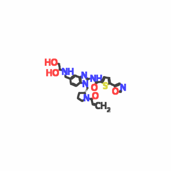 C=CC(=O)N1CCC[C@@H]1Cn1c(NC(=O)c2ccc(-c3cnco3)s2)nc2cc(CN[C@H](O)CO)ccc21